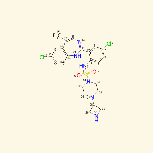 O=S(=O)(Nc1ccc(Cl)cc1C1=NC=C(C(F)(F)F)c2cc(Cl)ccc2N1)N1CCN(C2CNC2)CC1